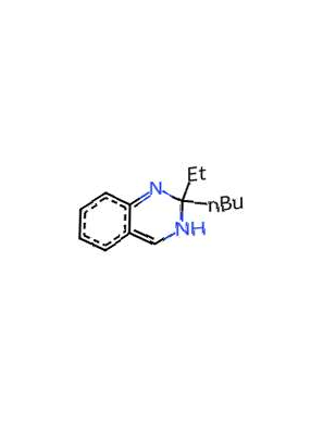 CCCCC1(CC)N=c2ccccc2=CN1